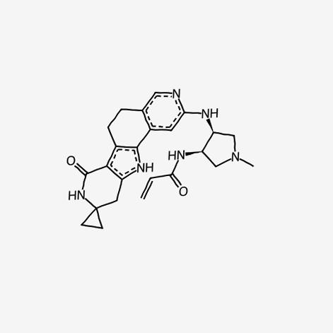 C=CC(=O)N[C@@H]1CN(C)C[C@@H]1Nc1cc2c(cn1)CCc1c-2[nH]c2c1C(=O)NC1(CC1)C2